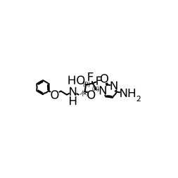 Nc1ccn([C@@H]2O[C@H](CNCCOc3ccccc3)[C@@H](O)C2(F)F)c(=O)n1